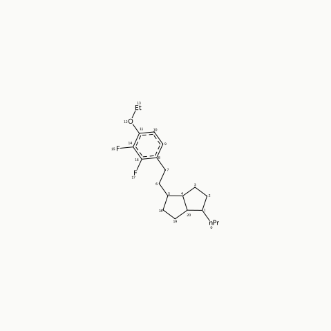 CCCC1CCC2C(CCc3ccc(OCC)c(F)c3F)CCC12